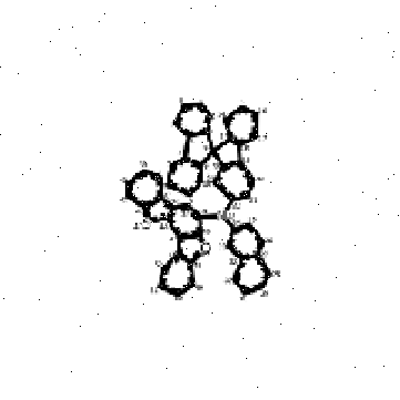 c1ccc2c(c1)-c1ccccc1C21c2ccccc2-c2ccc(N(c3ccc4ccccc4c3)c3cc4c5ccccc5sc4c4c3oc3ccccc34)cc21